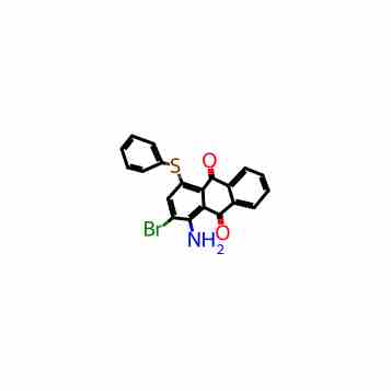 Nc1c(Br)cc(Sc2ccccc2)c2c1C(=O)c1ccccc1C2=O